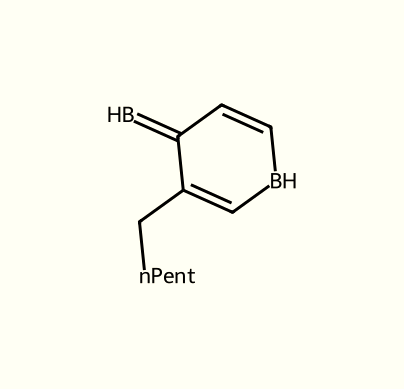 B=C1C=CBC=C1CCCCCC